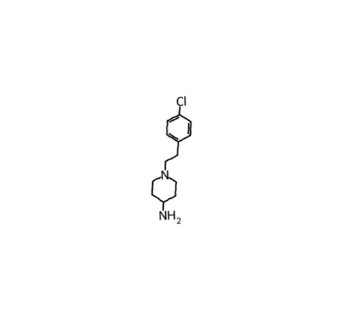 NC1CCN(CCc2ccc(Cl)cc2)CC1